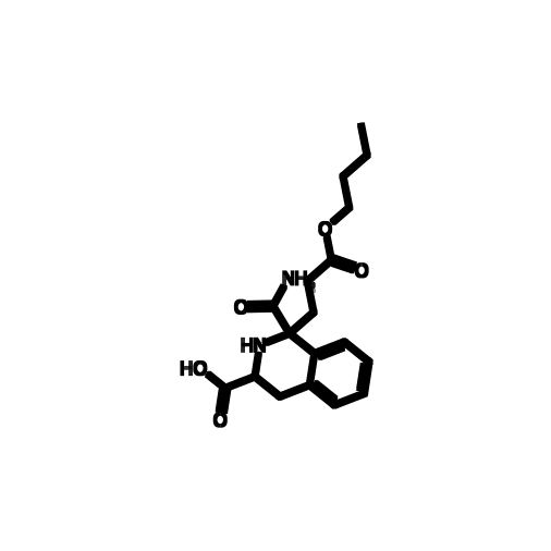 CCCCOC(=O)CCC1(C(N)=O)NC(C(=O)O)Cc2ccccc21